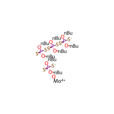 CCCCOP(=S)([S-])OCCCC.CCCCOP(=S)([S-])OCCCC.CCCCOP(=S)([S-])OCCCC.CCCCOP(=S)([S-])OCCCC.[O]=[Mo+4]